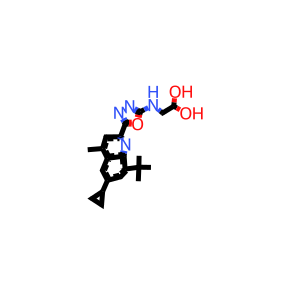 Cc1cc(-c2nnc(NCC(O)O)o2)nc2c(C(C)(C)C)cc(C3CC3)cc12